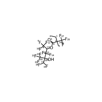 CCC(C)(C(=O)OC(C(F)(F)F)C(F)(F)C(O)(C(F)F)C(F)(F)F)C(F)(F)F